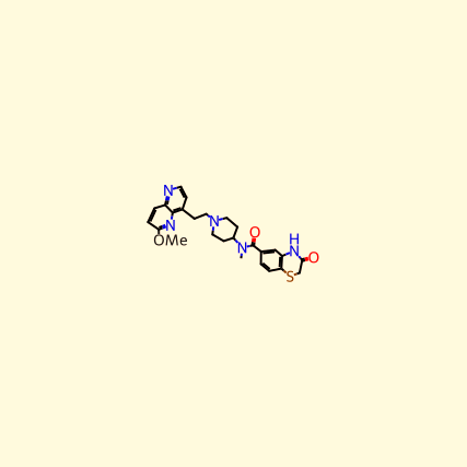 COc1ccc2nccc(CCN3CCC(N(C)C(=O)c4ccc5c(c4)NC(=O)CS5)CC3)c2n1